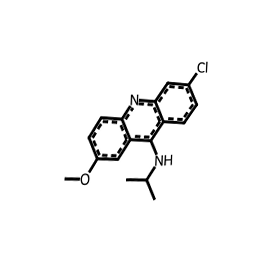 COc1ccc2nc3cc(Cl)ccc3c(NC(C)C)c2c1